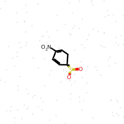 O=[N+]([O-])C1=CCC(=S(=O)=O)C=C1